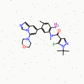 Cc1cc(P)c(N(C)C(=O)c2cnn(C(C)(C)C)c2F)cc1-c1cc(N2CCOCC2)n2cncc2c1